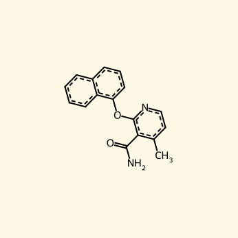 Cc1ccnc(Oc2cccc3ccccc23)c1C(N)=O